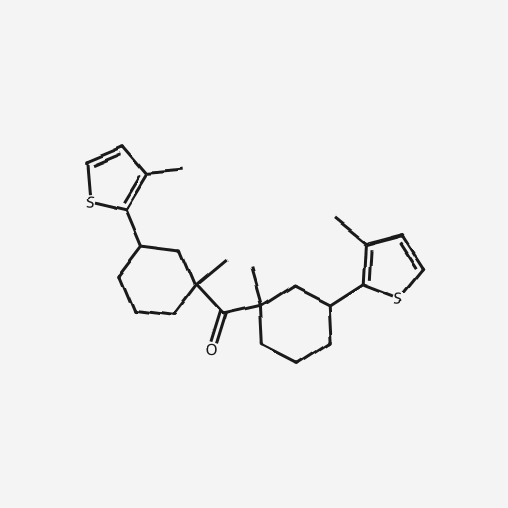 Cc1ccsc1C1CCCC(C)(C(=O)C2(C)CCCC(c3sccc3C)C2)C1